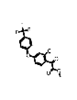 COC(=O)C(=O)c1ccc(Oc2ccc(C(F)(F)F)cc2)cc1Cl